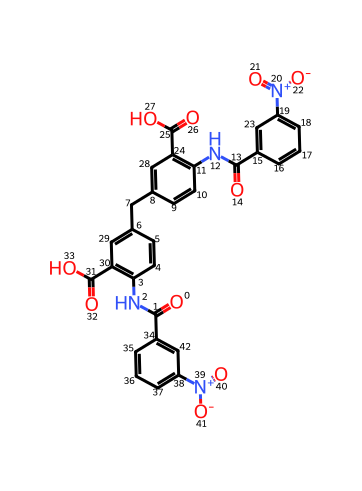 O=C(Nc1ccc(Cc2ccc(NC(=O)c3cccc([N+](=O)[O-])c3)c(C(=O)O)c2)cc1C(=O)O)c1cccc([N+](=O)[O-])c1